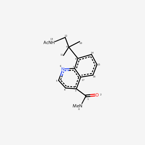 CNC(=O)c1ccnc2c(C(C)(C)CNC(C)=O)cccc12